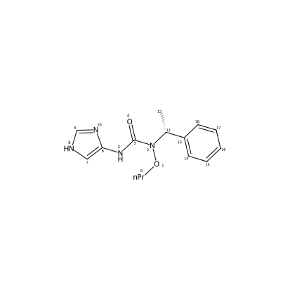 CCCON(C(=O)Nc1c[nH]cn1)[C@H](C)c1ccccc1